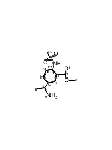 COC(=O)c1cc(C(C)N)ccc1NS(C)(=O)=O